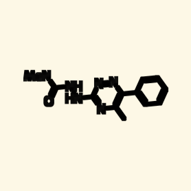 CNC(=O)NNc1nnc(-c2ccccc2)c(C)n1